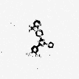 Cc1ccc(-c2nc(N3CCCC3)nc(N3CCN(c4ncccc4C(F)(F)F)CC3)n2)cc1C